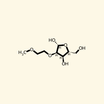 COCCO[C@@H]1[C@H](O)[C@@H](CO)O[C@H]1O